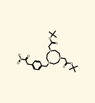 CC(C)(C)OC(=O)CN1CCN(CC(=O)OC(C)(C)C)CCN(Cc2ccc(CC(=O)[N+](=O)[O-])cc2)CC1